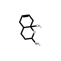 CC12CC=CCC1CCC(N)O2